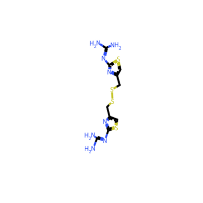 NC(N)=Nc1nc(CSSCc2csc(N=C(N)N)n2)cs1